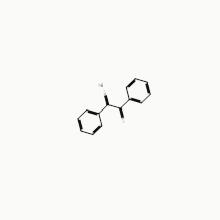 S=C(C(=S)c1ccccc1)c1ccccc1.[Ni]